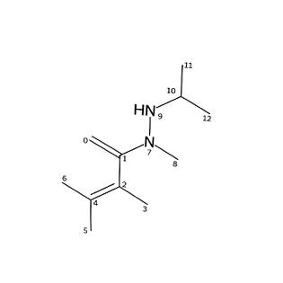 C=C(C(C)=C(C)C)N(C)NC(C)C